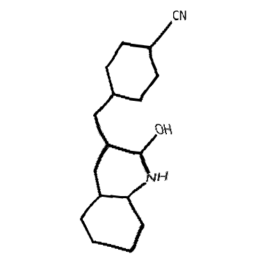 N#CC1CCC(CC2CC3CCCCC3NC2O)CC1